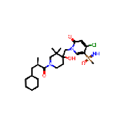 C[C@H](CC1CCCCC1)C(=O)N1CCC(O)(Cn2cc(S(C)(=N)=O)c(Cl)cc2=O)C(C)(C)C1